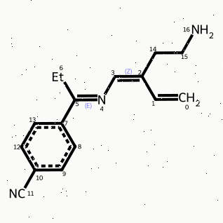 C=C/C(=C\N=C(/CC)c1ccc(C#N)cc1)CCN